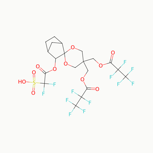 O=C(OCC1(COC(=O)C(F)(F)C(F)(F)F)COC2(OC1)C1CCC(C1)C2OC(=O)C(F)(F)S(=O)(=O)O)C(F)(F)C(F)(F)F